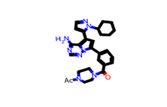 CC(=O)N1CCN(C(=O)c2cccc(-c3cc(-c4ccnn4C4CCCCC4)c4c(N)ncnn34)c2)CC1